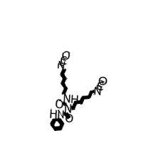 O=C=NCCCCCCNC(=O)N(CCCCCCN=C=O)C(=O)Nc1ccccc1